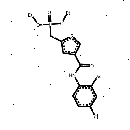 CCOP(=O)(Cc1cc(C(=O)Nc2ccc(Cl)cc2C(C)=O)cs1)OCC